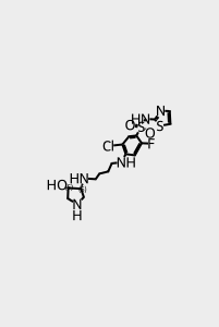 O=S(=O)(Nc1nccs1)c1cc(Cl)c(NCCCCN[C@H]2CNC[C@@H]2O)cc1F